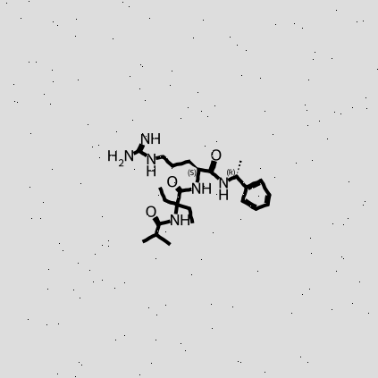 CCC(CC)(NC(=O)C(C)C)C(=O)N[C@@H](CCCNC(=N)N)C(=O)N[C@H](C)c1ccccc1